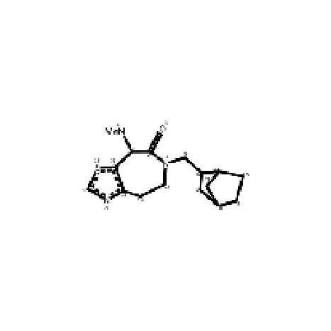 CNC1C(=O)N(CC2CC3CCC2C3)CCc2ncsc21